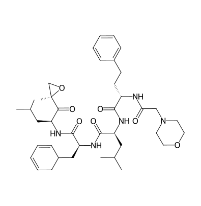 CC(C)C[C@H](NC(=O)[C@H](CCc1ccccc1)NC(=O)CN1CCOCC1)C(=O)N[C@@H](CC1C=CC=CC1)C(=O)N[C@@H](CC(C)C)C(=O)[C@@]1(C)CO1